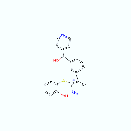 N#C/C(=C(\N)Sc1ccccc1O)c1cccc(C(O)c2ccncc2)c1